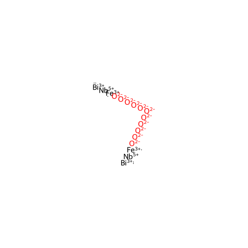 [Bi+3].[Bi+3].[Fe+3].[Fe+3].[Nb+5].[Nb+5].[O-2].[O-2].[O-2].[O-2].[O-2].[O-2].[O-2].[O-2].[O-2].[O-2].[O-2]